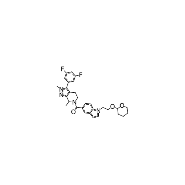 CC1c2nn(C)c(-c3cc(F)cc(F)c3)c2CCN1C(=O)c1ccc2c(ccn2CCOC2CCCCO2)c1